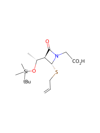 C=CCS[C@@H]1[C@@H]([C@@H](C)O[Si](C)(C)C(C)(C)C)C(=O)N1CC(=O)O